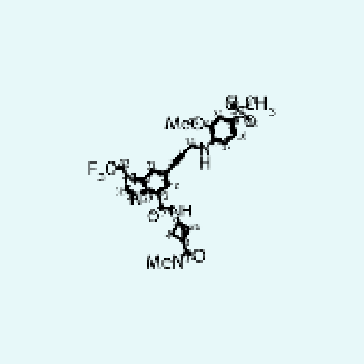 CNC(=O)C12CC(NC(=O)c3cc(C#CCNc4ccc(S(C)(=O)=O)cc4OC)cc4c3ncn4CC(F)(F)F)(C1)C2